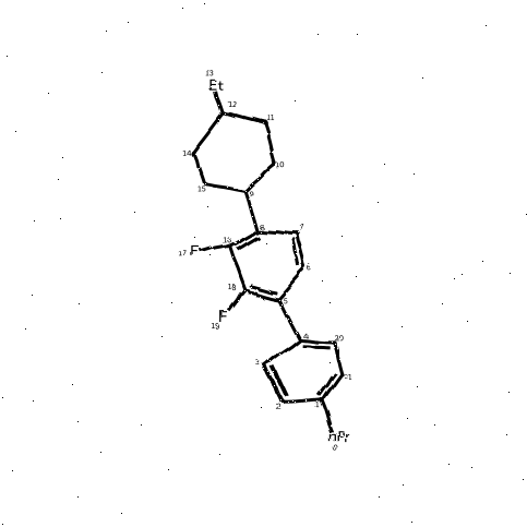 CCCc1ccc(-c2ccc(C3CCC(CC)CC3)c(F)c2F)cc1